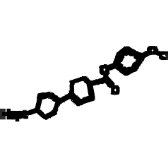 CCCCCCCC1CCC(C2CCC(C(=O)Oc3ccc(OC(F)(F)F)cc3)CC2)CC1